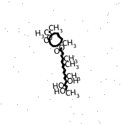 CC(=C\C=C\C(C)=C\[C@H](O)[C@@H](O)C[C@@H](C)O)/C=C(C)/C=C/C(=O)O[C@H]1CCCC(=O)O[C@@H](C(C)C)C/C=C/C[C@@H]1C